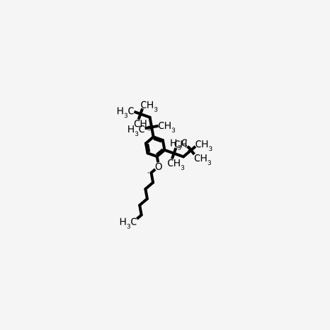 CCCCCC[CH]Oc1ccc(C(C)(C)CC(C)(C)C)cc1C(C)(C)CC(C)(C)C